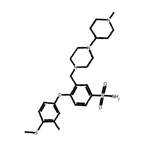 CSc1ccc(Oc2ccc(S(N)(=O)=O)cc2CN2CCN(C3CCN(C)CC3)CC2)cc1C